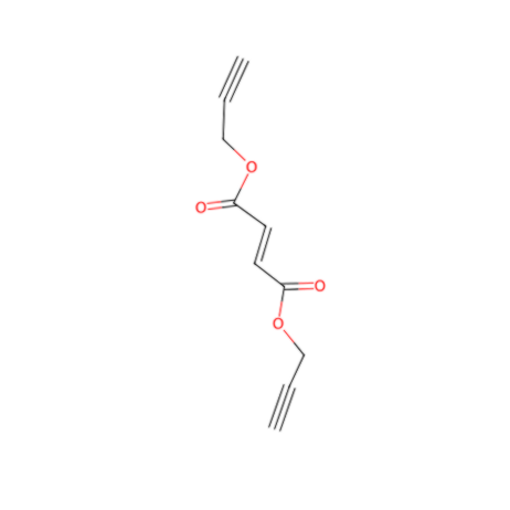 C#CCOC(=O)/C=C/C(=O)OCC#C